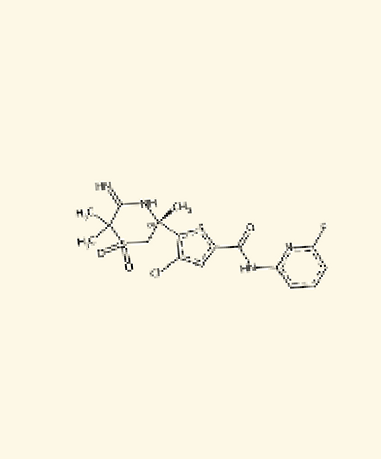 CC1(C)C(=N)N[C@](C)(c2sc(C(=O)Nc3cccc(F)n3)cc2Cl)CS1(=O)=O